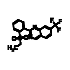 CCS(=O)(=O)c1ccccc1-c1ncc2ccc(C(F)(F)F)cc2n1